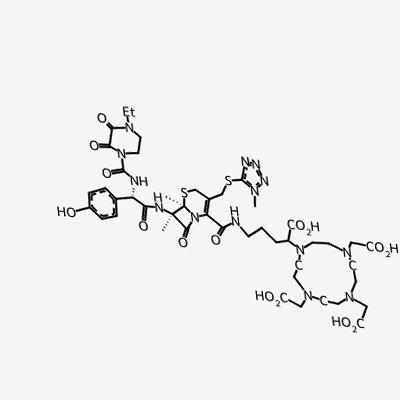 CCN1CCN(C(=O)N[C@H](C(=O)N[C@]2(C)C(=O)N3C(C(=O)NCCCC(C(=O)O)N4CCN(CC(=O)O)CCN(CC(=O)O)CCN(CC(=O)O)CC4)=C(CSc4nnnn4C)CS[C@@]32C)c2ccc(O)cc2)C(=O)C1=O